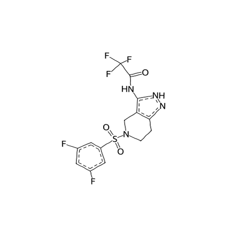 O=C(Nc1[nH]nc2c1CN(S(=O)(=O)c1cc(F)cc(F)c1)CC2)C(F)(F)F